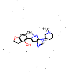 Cc1cc2c(c(O)c1-c1cc3ncn([C@@H]4CCCN(C)C4)c3nn1)CCO2